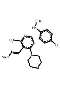 CON=Cc1c(N)ncnc1N1CCNCC1.O=CNc1ccc(Cl)cc1